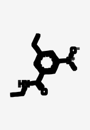 CCNC(=O)c1cc(CC)cc([S+](C)[O-])c1